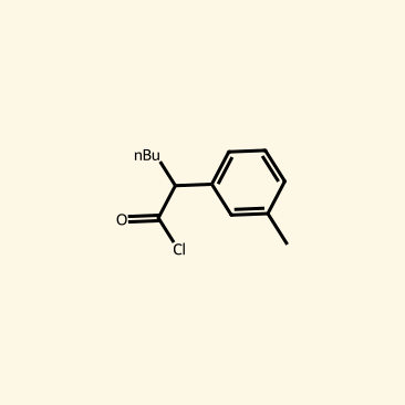 CCCCC(C(=O)Cl)c1cccc(C)c1